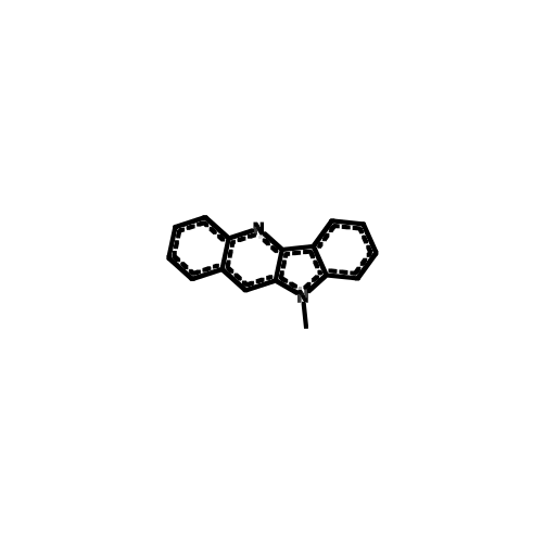 Cn1c2ccccc2c2nc3ccccc3cc21